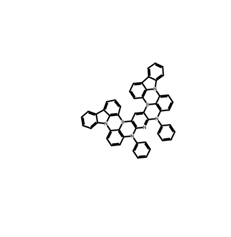 c1ccc(N2c3cccc4c3B(c3cc5c(nc32)N(c2ccccc2)c2cccc3c2B5c2cccc5c6ccccc6n-3c25)c2cccc3c5ccccc5n-4c23)cc1